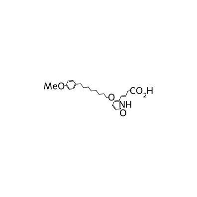 COc1ccc(CCCCCCCCOc2ccc(=O)[nH]c2C=CCC(=O)O)cc1